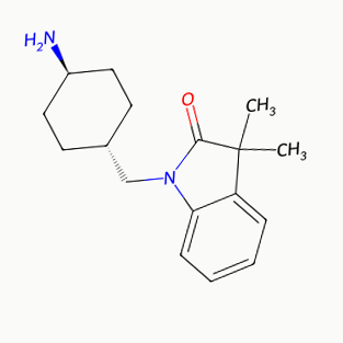 CC1(C)C(=O)N(C[C@H]2CC[C@H](N)CC2)c2ccccc21